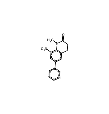 CN1C(=O)CCc2cc(-c3cncnc3)cc([N+](=O)[O-])c21